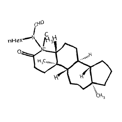 CCCCCCN(C=O)[N+]1(C)C(=O)CC[C@@]2(C)[C@H]1CC[C@H]1[C@@H]3CCC[C@@]3(C)CC[C@@H]12